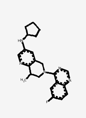 CC1CN(c2ncnc3ccc(F)cc23)Cc2cc(NC3CCCC3)cnc21